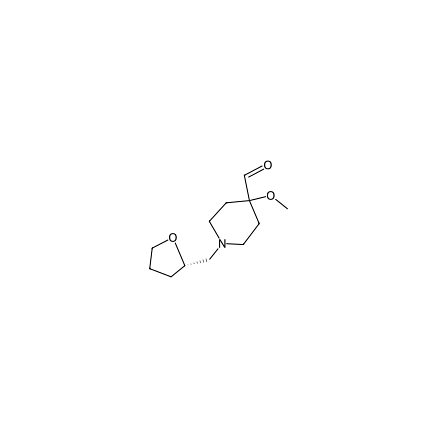 COC1(C=O)CCN(C[C@@H]2CCCO2)CC1